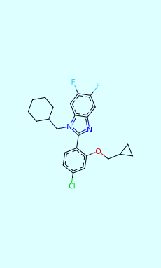 Fc1cc2nc(-c3ccc(Cl)cc3OCC3CC3)n(CC3CCCCC3)c2cc1F